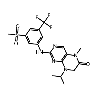 CC(C)N1CC(=O)N(C)c2cnc(Nc3cc(C(F)(F)F)cc(S(C)(=O)=O)c3)nc21